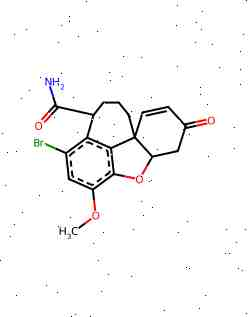 COc1cc(Br)c2c3c1OC1CC(=O)C=CC31CCCC2C(N)=O